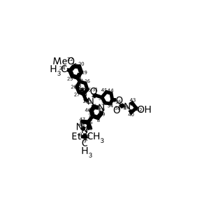 CCC(C)(C)n1cc(-c2ccnc(N(CC34CCC(c5ccc(OC)c(C)c5)(CC3)CC4)C(=O)C3CCC(OC(=O)N4CC(O)C4)CC3)c2)cn1